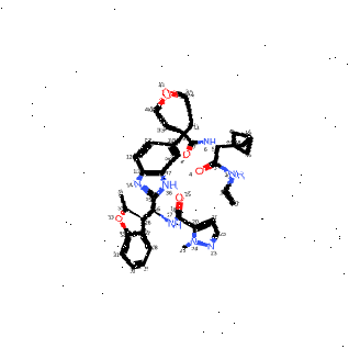 CCNC(=O)[C@H](NC(=O)C1(c2ccc3nc([C@@H](NC(=O)c4ccnn4C)[C@H]4c5ccccc5OC4C)[nH]c3c2)CCOCC1)C12CC(C1)C2